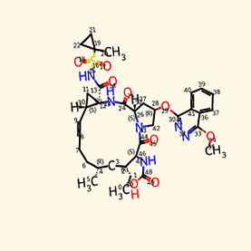 CC[C@@H]1C[C@H](C)CCC=C[C@@H]2C[C@@]2(C(=O)NS(=O)(=O)C2(C)CC2)NC(=O)[C@@H]2C[C@@H](Oc3nnc(OC)c4ccccc34)CN2C(=O)[C@H]1NC(=O)O